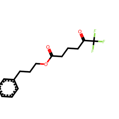 O=C(CCCC(=O)C(F)(F)F)OCCCc1ccccc1